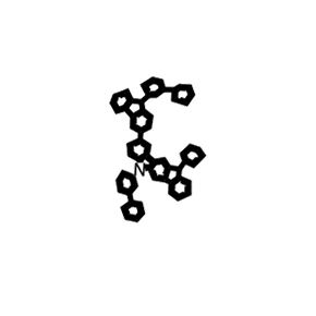 c1ccc(-c2cccc(C3c4ccccc4-c4cc(-c5ccc6c(c5)c5cc7c(cc5n6-c5cccc(-c6ccccc6)c5)-c5ccccc5C7c5ccccc5)ccc43)c2)cc1